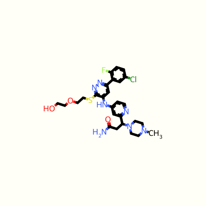 CN1CCN(C(CC(N)=O)c2cc(Nc3cc(-c4cc(Cl)ccc4F)nnc3SCCOCCO)ccn2)CC1